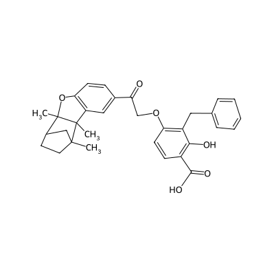 CC12CCC(C1)C1(C)Oc3ccc(C(=O)COc4ccc(C(=O)O)c(O)c4Cc4ccccc4)cc3C21C